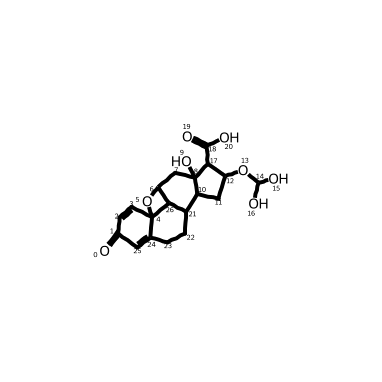 O=C1C=CC23OC4CC5(O)C(CC(OC(O)O)C5C(=O)O)C(CCC2=C1)C43